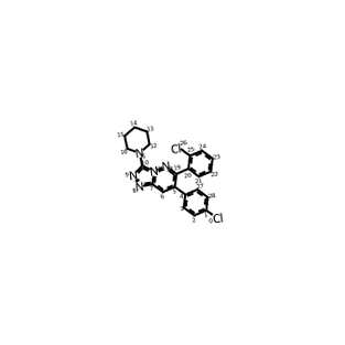 Clc1ccc(-c2cc3nnc(N4CCCCC4)n3nc2-c2ccccc2Cl)cc1